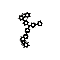 C1=CCCC(c2ccc(N(c3ccc(-c4ccc5c(ccc6oc7ccccc7c65)c4)cc3)c3ccc(-c4cccc5oc6ccccc6c45)cc3)cc2)=C1